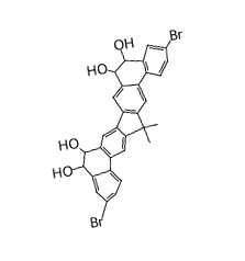 CC1(C)c2cc3c(cc2-c2cc4c(cc21)-c1ccc(Br)cc1C(O)C4O)C(O)C(O)c1cc(Br)ccc1-3